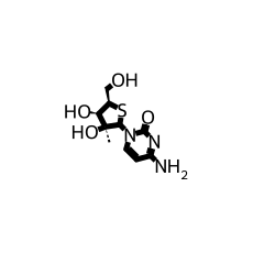 C[C@@]1(O)C(n2ccc(N)nc2=O)S[C@H](CO)[C@H]1O